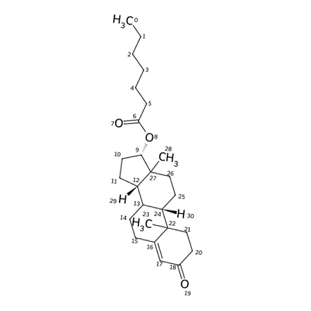 CCCCCCC(=O)O[C@H]1CC[C@H]2C3CCC4=CC(=O)CCC4(C)[C@H]3CCC12C